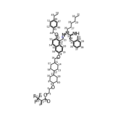 C=C(C(=O)OCCOC1CCC(C2CCC(COc3ccc4c(/C=N/N(CCCCCC)C(=N)Sc5ccccc5C)c(OCc5ccc(CC)cc5)ccc4c3)CC2)CC1)C(F)(F)F